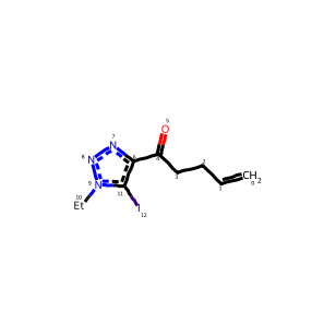 C=CCCC(=O)c1nnn(CC)c1I